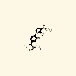 CC(c1ccc(N2CCC(NC(=O)O)C2=O)c(F)c1)N(C)C